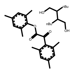 CCCCC(CO)C(CO)CCCC.Cc1cc(C)c(OC(=O)C(=O)c2c(C)cc(C)cc2C)c(C)c1